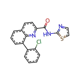 O=C(Nc1nccs1)c1ccc2cccc(-c3ccccc3Cl)c2n1